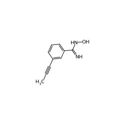 CC#Cc1cccc(C(=N)NO)c1